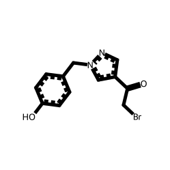 O=C(CBr)c1cnn(Cc2ccc(O)cc2)c1